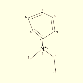 CC[N+](C)c1ccccc1